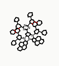 c1ccc(-c2cc(-c3ccccc3)cc(-c3nc(-c4cc(-c5ccccc5)cc(-c5ccccc5)c4)nc(-c4cc5c6c(c4)N(c4cc(-c7ccccc7)cc(-c7ccccc7)c4)c4c(cc7ccc8cccc9ccc4c7c89)B6c4cc6ccc7cccc8ccc(c4N5c4cc(-c5ccccc5)cc(-c5ccccc5)c4)c6c78)n3)c2)cc1